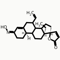 C=CC1CC2=CC(=NO)CC[C@@H]2C2CC[C@@]3(CC)C(CC[C@@]34C=CC(=O)O4)C12